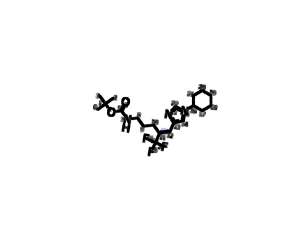 CC(C)(C)OC(=O)NCCC/C(=C\c1cn(C2CCCCC2)cn1)C(F)(F)F